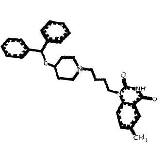 Cc1ccc2c(c1)c(=O)[nH]c(=O)n2CCCCN1CCC(OC(c2ccccc2)c2ccccc2)CC1